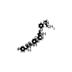 C=Cc1nccn1-c1cccc(OCc2cc3c(Oc4ccc(NC(=O)NC(=O)Cc5ccc(F)cc5)cc4F)ccnc3[nH]2)c1